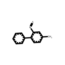 Cc1ccc(-c2ccccc2)c(N=S)c1